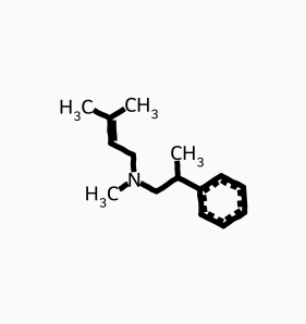 CC(C)=CCN(C)CC(C)c1ccccc1